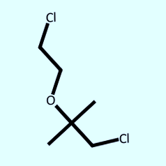 CC(C)(CCl)OCCCl